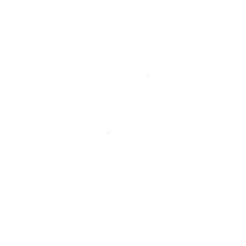 O=P(O)(O)OCCSC(c1ccccc1)(c1ccccc1)c1ccccc1